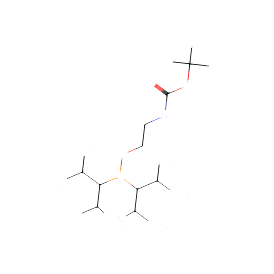 CC(C)C(C(C)C)P(OCCNC(=O)OC(C)(C)C)C(C(C)C)C(C)C